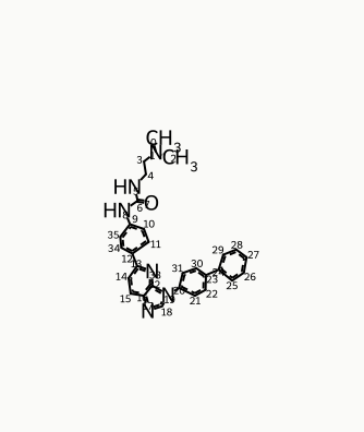 CN(C)CCNC(=O)Nc1ccc(-c2ccc3ncn(-c4ccc(-c5ccccc5)cc4)c3n2)cc1